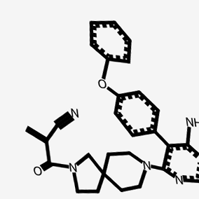 C=C(C#N)C(=O)N1CCC2(CCN(c3ncnc(N)c3-c3ccc(Oc4ccccc4)cc3)CC2)C1